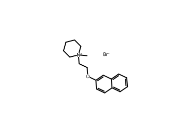 C[N+]1(CCOc2ccc3ccccc3c2)CCCCC1.[Br-]